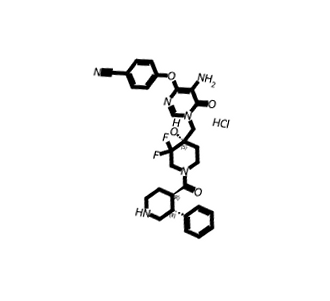 Cl.N#Cc1ccc(Oc2ncn(C[C@@]3(O)CCN(C(=O)[C@@H]4CCNC[C@H]4c4ccccc4)CC3(F)F)c(=O)c2N)cc1